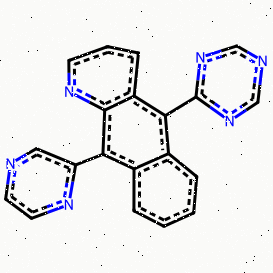 c1ccc2c(-c3cnccn3)c3ncccc3c(-c3ncncn3)c2c1